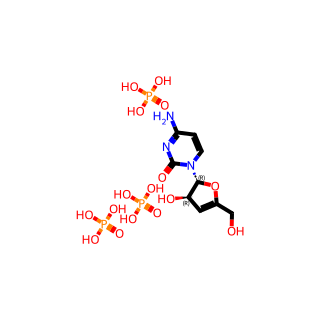 Nc1ccn([C@@H]2OC(CO)=C[C@H]2O)c(=O)n1.O=P(O)(O)O.O=P(O)(O)O.O=P(O)(O)O